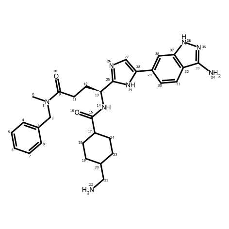 CN(Cc1ccccc1)C(=O)CC[C@H](NC(=O)C1CCC(CN)CC1)c1ncc(-c2ccc3c(N)n[nH]c3c2)[nH]1